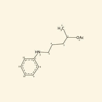 CC(=O)OC(C)CCCNc1ccccc1